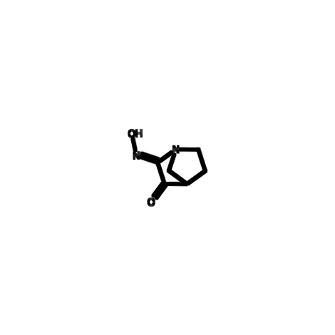 O=C1C(=NO)N2CCC1C2